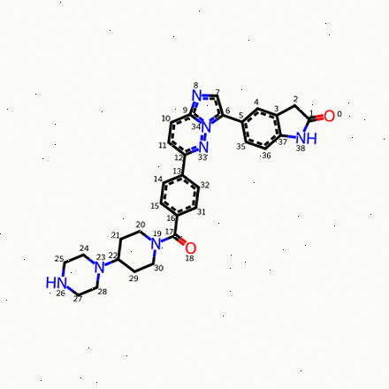 O=C1Cc2cc(-c3cnc4ccc(-c5ccc(C(=O)N6CCC(N7CCNCC7)CC6)cc5)nn34)ccc2N1